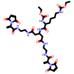 C=C(C(=O)NCCNC(=O)CC(CC(=O)NCCNC(=O)C(=C)N1C(=O)C=CC1=O)NC(=O)C(CCCCNC(=O)OCC)NC(=O)OCC)N1C(=O)C=CC1=O